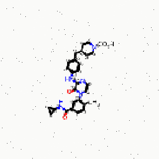 Cc1ccc(C(=O)NC2CC2)cc1-n1ccnc(Nc2ccc(CC3CCN(C(=O)O)CC3)cc2)c1=O